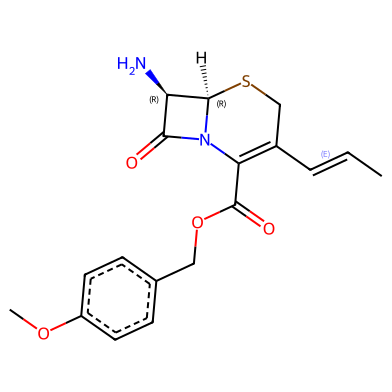 C/C=C/C1=C(C(=O)OCc2ccc(OC)cc2)N2C(=O)[C@@H](N)[C@H]2SC1